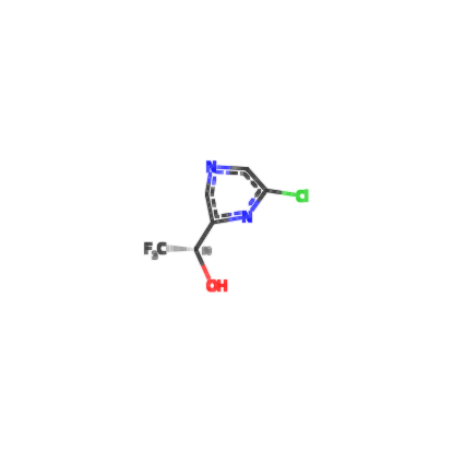 O[C@@H](c1cncc(Cl)n1)C(F)(F)F